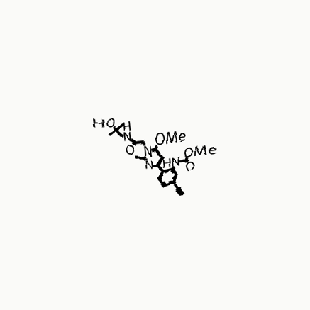 C#Cc1ccc(C2=CC(OC)N(CC(=O)NCC(C)(C)O)C(C)=N2)c(NC(=O)OC)c1